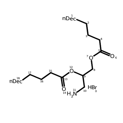 Br.CCCCCCCCCCCCCC(=O)OCC(CN)OC(=O)CCCCCCCCCCCCC